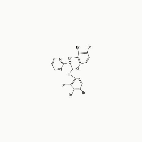 Brc1ccc(OC(Oc2ncncn2)Oc2ccc(Br)c(Br)c2Br)c(Br)c1Br